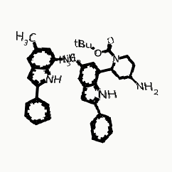 Cc1cc(C2CC(N)CCN2C(=O)OC(C)(C)C)c2[nH]c(-c3ccccc3)cc2c1.Cc1cc(N)c2[nH]c(-c3ccccc3)cc2c1